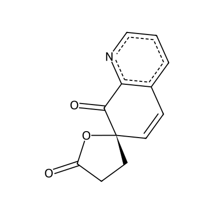 O=C1CC[C@@]2(C=Cc3cccnc3C2=O)O1